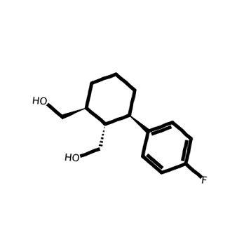 OC[C@H]1CCC[C@@H](c2ccc(F)cc2)[C@@H]1CO